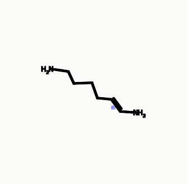 N/C=C/CCCCN